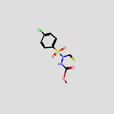 COC(=O)NN(C=S)S(=O)(=O)c1ccc(Cl)cc1